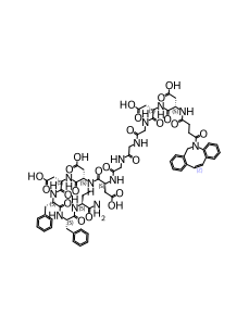 CC[C@H](NC(=O)[C@H](Cc1ccccc1)NC(=O)[C@H](Cc1ccccc1)NC(=O)[C@H](CC(=O)O)NC(=O)[C@H](CC(=O)O)NC(=O)[C@H](CC(=O)O)NC(=O)CNC(=O)CNC(=O)CNC(=O)[C@H](CC(=O)O)NC(=O)[C@H](CC(=O)O)NC(=O)CCC(=O)N1Cc2ccccc2/C=C\c2ccccc21)C(N)=O